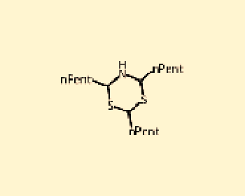 CCCCCC1NC(CCCCC)SC(CCCCC)S1